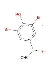 O=CC(Br)c1cc(Br)c(O)c(Br)c1